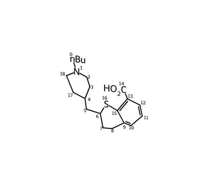 CCCCN1CCC(CC2CCc3cccc(C(=O)O)c3S2)CC1